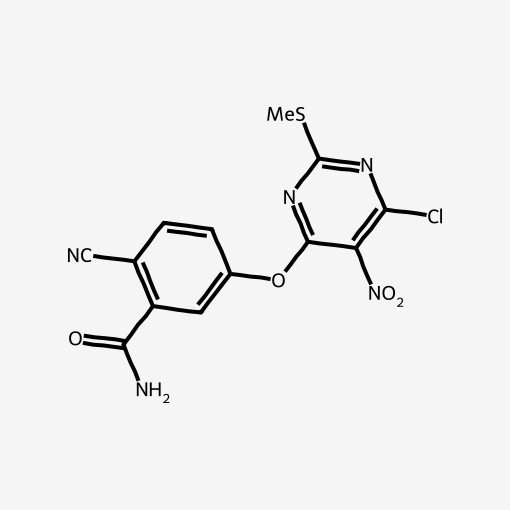 CSc1nc(Cl)c([N+](=O)[O-])c(Oc2ccc(C#N)c(C(N)=O)c2)n1